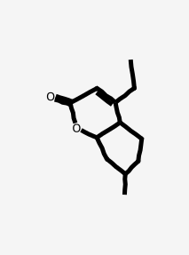 CCC1=CC(=O)OC2CC(C)CCC12